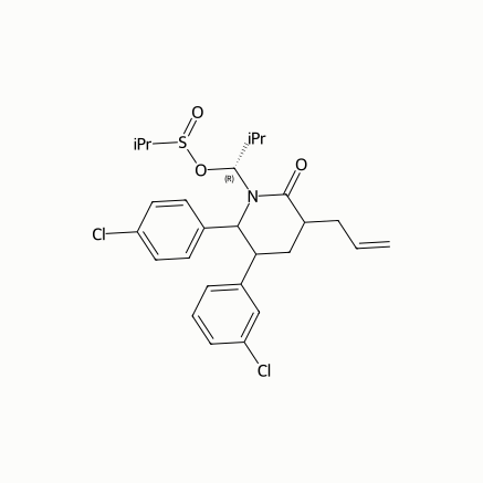 C=CCC1CC(c2cccc(Cl)c2)C(c2ccc(Cl)cc2)N([C@H](OS(=O)C(C)C)C(C)C)C1=O